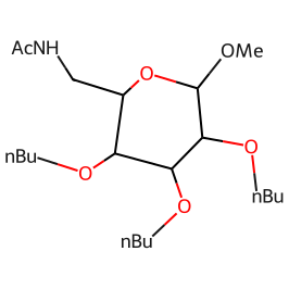 CCCCOC1C(CNC(C)=O)OC(OC)C(OCCCC)C1OCCCC